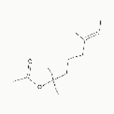 C/C=C(\C)CCCC(C)(C)OC(C)=O